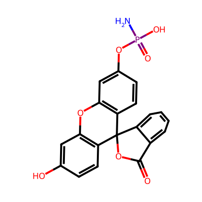 NP(=O)(O)Oc1ccc2c(c1)Oc1cc(O)ccc1C21OC(=O)c2ccccc21